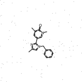 Cc1cn(Cc2ccccc2)c(-c2cc(C)c(=O)n(C)c2)n1